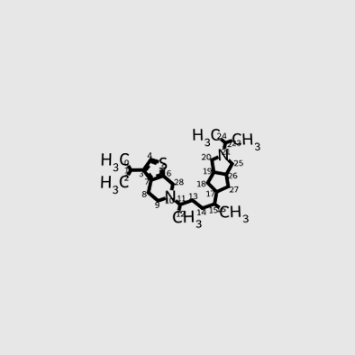 CC(C)c1csc2c1CCN(C(C)CCC(C)C1CC3CN(C(C)C)CC3C1)C2